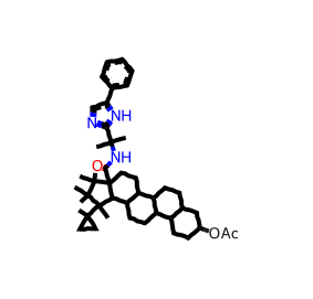 CC(=O)OC1CCC2C(CCC3C2CCC2C3CCC3(C(=O)NC(C)(C)c4ncc(-c5ccccc5)[nH]4)C2C(C)(C2(C)CC2)C(C)(C)C3(C)C)C1